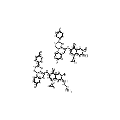 Cc1ccc(N2CCC[C@H](N(Cc3ccnc(C)c3)Cc3cn(C4CC4)c4cc(Cl)c(F)cc4c3=O)C2)cn1.Cc1ccc(N2CCC[C@H](N(Cc3ccnc(C)c3)Cc3cn(C4CC4)c4cc(NCCN)c(F)cc4c3=O)C2)cn1